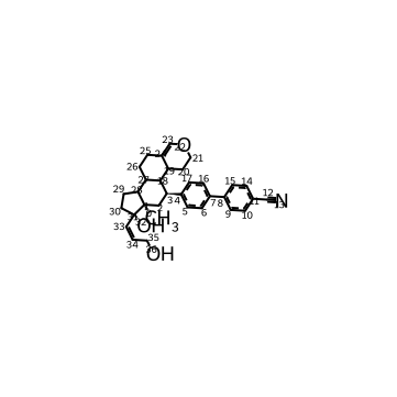 C[C@]12C[C@H](c3ccc(-c4ccc(C#N)cc4)cc3)C3C4CCOC=C4CCC3C1CC[C@@]2(O)/C=C\CO